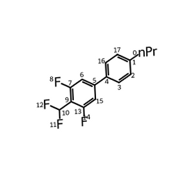 CCCc1ccc(-c2cc(F)c(C(F)F)c(F)c2)cc1